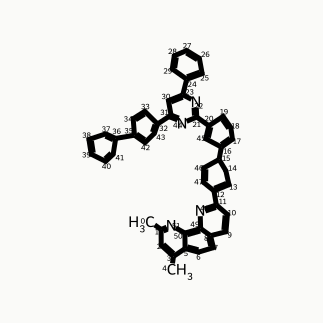 Cc1cc(C)c2ccc3ccc(C4=CCC(c5cccc(-c6nc(-c7ccccc7)cc(-c7ccc(-c8ccccc8)cc7)n6)c5)C=C4)nc3c2n1